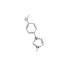 COc1ccc(-n2cc[n+](C)c2)cc1